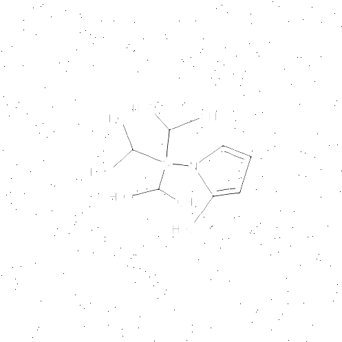 Cc1cccn1[Si](C(C)C)(C(C)C)C(C)C